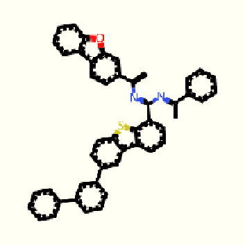 C=C(/N=C(\N=C(/C)c1ccccc1)c1cccc2c1sc1ccc(-c3cccc(-c4ccccc4)c3)cc12)c1ccc2c(c1)oc1ccccc12